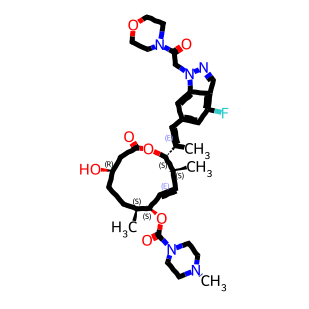 C/C(=C\c1cc(F)c2cnn(CC(=O)N3CCOCC3)c2c1)[C@H]1OC(=O)C[C@H](O)CC[C@H](C)[C@H](OC(=O)N2CCN(C)CC2)/C=C/[C@@H]1C